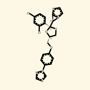 Clc1ccc([C@]2([C@H]3c4nccn43)OC[C@H](COc3ccc(-n4cncn4)cc3)O2)c(Cl)c1